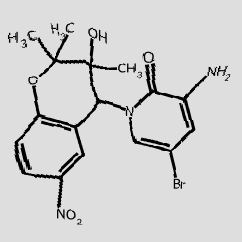 CC1(C)Oc2ccc([N+](=O)[O-])cc2C(n2cc(Br)cc(N)c2=O)C1(C)O